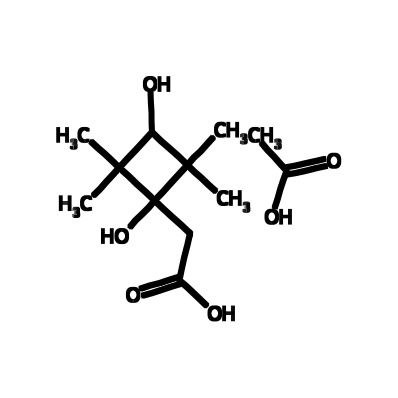 CC(=O)O.CC1(C)C(O)C(C)(C)C1(O)CC(=O)O